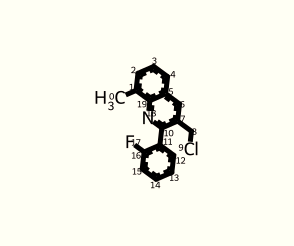 Cc1cccc2cc(CCl)c(-c3ccccc3F)nc12